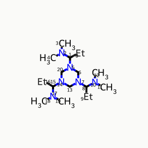 CCC(N(C)C)N1CN(C(CC)N(C)C)CN(C(CC)N(C)C)C1